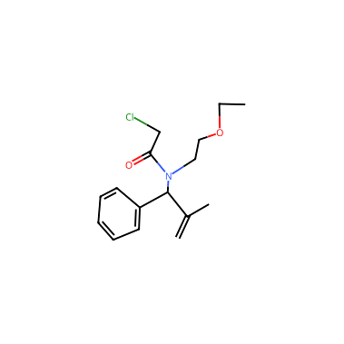 C=C(C)C(c1ccccc1)N(CCOCC)C(=O)CCl